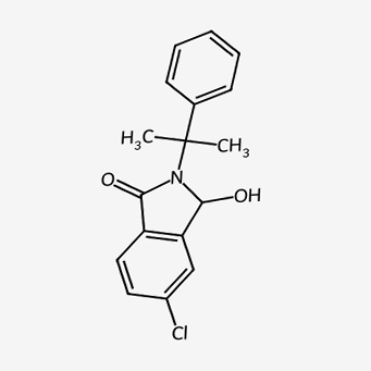 CC(C)(c1ccccc1)N1C(=O)c2ccc(Cl)cc2C1O